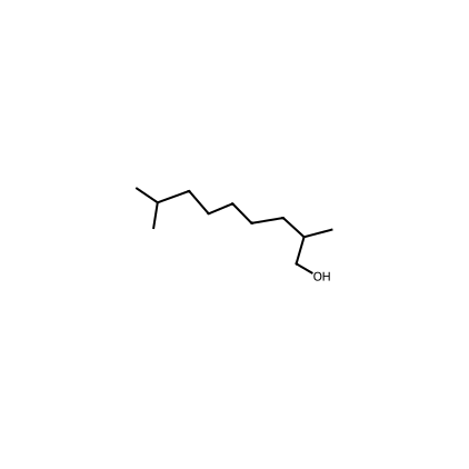 CC(C)CCCCCC(C)CO